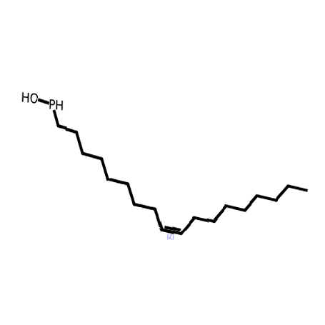 CCCCCCCC/C=C\CCCCCCCCPO